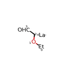 CCOCC=O.[La]